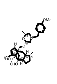 COc1ccc(CN2C[C@H](OC[C@@]34C[C@@H]5[C@H](C)CC[C@H]5[C@]5(C=O)C[C@@H]3C=C(C(C)C)[C@@]45C(=O)O)O[C@H](C)C2)cc1